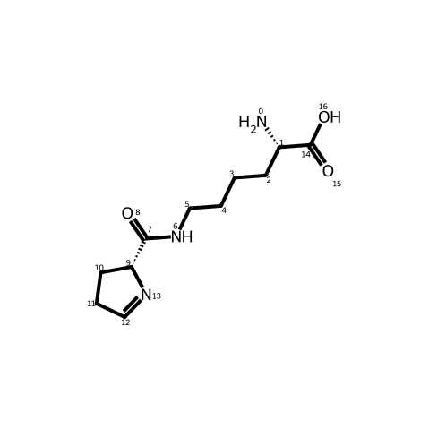 N[C@@H](CCCCNC(=O)[C@H]1CCC=N1)C(=O)O